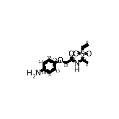 C=CS(=O)(=O)C(C)NC(=O)COc1ccc(N)cc1